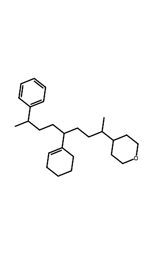 CC(CCC(CCC(C)C1CCOCC1)C1=CCCCC1)c1ccccc1